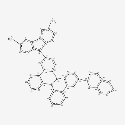 Cc1ccc2c(c1)c1cc(C)ccc1n2-c1ccc2c(c1)-c1ccccc1B1c3ccccc3-c3cc(-c4ccc5ccccc5c4)ccc3N12